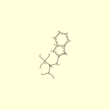 CC(C)N(Sc1nc2ccccc2s1)C(C)(C)C